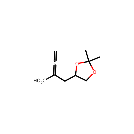 C=C=C(CC1COC(C)(C)O1)C(=O)O